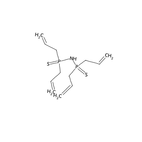 C=CCP(=S)(CC=C)NP(=S)(CC=C)CC=C